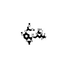 COCC(COC)Oc1cc2c(NCc3cc(C(F)(F)F)nc(N)n3)nc(C)nc2cc1OC